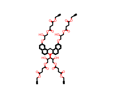 C#CCOC(=O)CCC(=O)OCC(O)COc1ccc2ccc(OCC(O)COC(=O)CCC(=O)OCC#C)c(Cc3c(OCC(O)COC(=O)CCC(=O)OCC#C)ccc4ccc(OCC(O)COC(=O)CCC(=O)OCC#C)cc34)c2c1